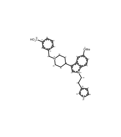 COc1ccc2c(c1)c(C1CCN(Cc3cccc(C(=O)O)c3)CC1)cn2CCc1ccsc1